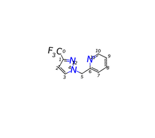 FC(F)(F)c1[c]cn(Cc2ccccn2)n1